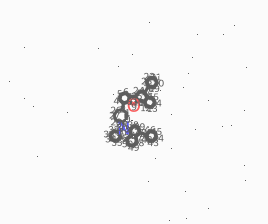 C1=CC(c2cccc3c2oc2c4ccccc4c(-c4ccccc4)cc32)CCC=C1N(c1ccccc1)c1ccc(-c2ccccc2)c2ccccc12